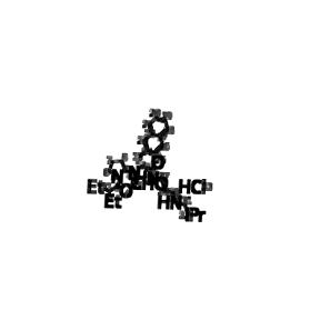 CCC(CC)C(=O)N1CCCC1N(C=O)[C@H](Cc1ccc2ccccc2c1)C(=O)NCCCNCC(C)C.Cl